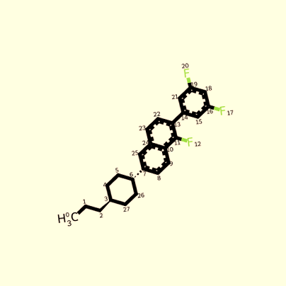 CCC[C@H]1CC[C@H](c2ccc3c(F)c(-c4cc(F)cc(F)c4)ccc3c2)CC1